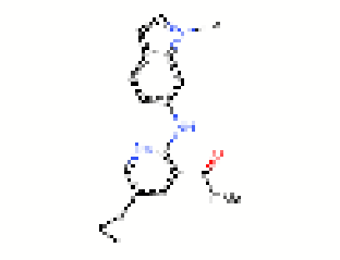 CCCn1ccc2ccc(Nc3ncc(C4CC4)cc3C(=O)OC)cc21